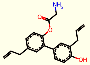 C=CCc1ccc(OC(=O)CN)c(-c2ccc(O)c(CC=C)c2)c1